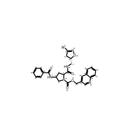 O=C(NC1CC(C(=O)NC[C@@H]2CC(Br)=NO2)N(C(=O)OCc2cnc3ccccc3c2)C1)c1ccccc1